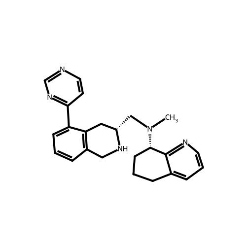 CN(C[C@H]1Cc2c(cccc2-c2ccncn2)CN1)[C@H]1CCCc2cccnc21